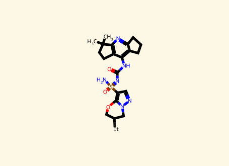 CCC1COc2c(S(N)(=O)=NC(=O)Nc3c4c(nc5c3CCC5(C)C)CCC4)cnn2C1